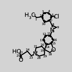 CCc1ccc(Cl)c(C2CN2c2ccc3c(c2)OCC32CCN(CCC(=O)O)CC2)c1